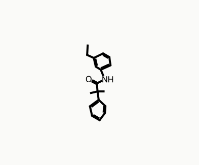 CCc1cccc(NC(=O)C(C)(C)c2ccccc2)c1